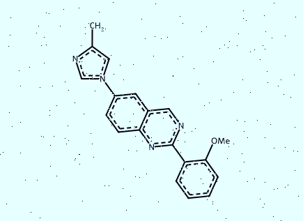 COc1ccccc1-c1ncc2cc(-n3cnc(C)c3)ccc2n1